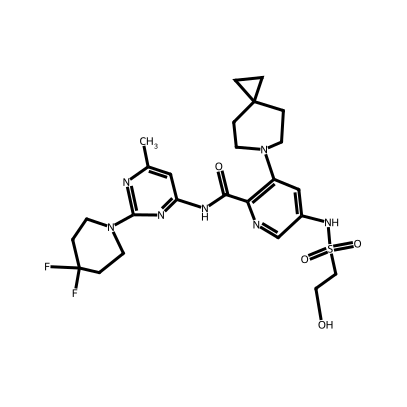 Cc1cc(NC(=O)c2ncc(NS(=O)(=O)CCO)cc2N2CCC3(CC2)CC3)nc(N2CCC(F)(F)CC2)n1